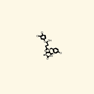 Cn1c(=O)[nH]c(=O)c2c1nc(CCC(O)Oc1ccc(Cl)c(Cl)c1)n2Cc1ccc(Cl)cc1